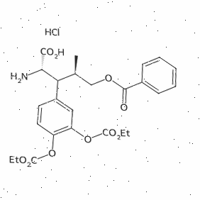 CCOC(=O)Oc1ccc(C([C@H](N)C(=O)O)[C@@H](C)COC(=O)c2ccccc2)cc1OC(=O)OCC.Cl